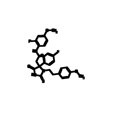 COc1ccc(CCN2C(=S)NC(=O)C2(CC(=O)Nc2ccc(OC)cc2F)c2ccc(F)cc2)cc1